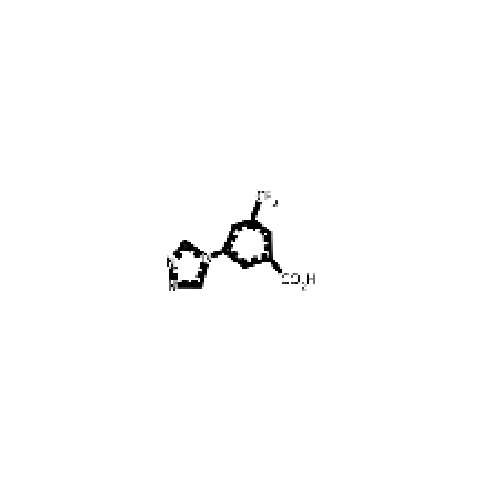 O=C(O)c1cc(-n2cnnc2)cc(C(F)(F)F)c1